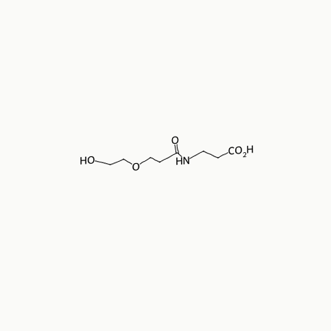 O=C(O)CCNC(=O)CCOCCO